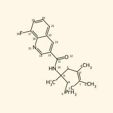 CC(C)=C(C)CC(C)(CC(C)C)NC(=O)c1cnc2c(F)cccc2c1